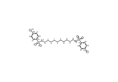 O=S(=O)(SCCCCCCCCCCSS(=O)(=O)c1ccc(Cl)cc1)c1ccc(Cl)cc1